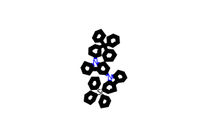 c1ccc(C(c2ccccc2)(c2ccccc2)c2cccc(-n3c4ccccc4c4cc(-n5c6ccccc6c6ccc([Si](c7ccccc7)(c7ccccc7)c7ccccc7)cc65)ccc43)c2)cc1